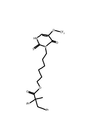 CC(C)CC(C)(C(=O)OCCCCCCn1c(=S)[nH]cc(OC(F)(F)F)c1=O)C(C)C